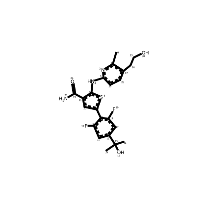 Cc1nc(Nc2sc(-c3c(F)cc(C(C)(C)O)cc3F)cc2C(N)=O)ccc1CCO